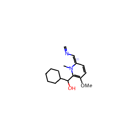 C=N/C=C1/C=CC(OC)=C(C(O)C2CCCCC2)N1C